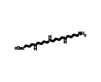 CCCCCCCCCCCCCNCCCCNCCCCNCCCCN